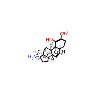 C[C@]12CC[C@H]3[C@@H](C=C[C@@H]4CCC(O)=C(O)[C@@]43C)[C@@H]1CC[C@H]2N